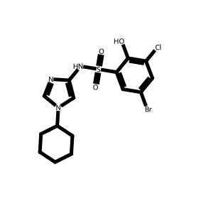 O=S(=O)(Nc1cn(C2CCCCC2)cn1)c1cc(Br)cc(Cl)c1O